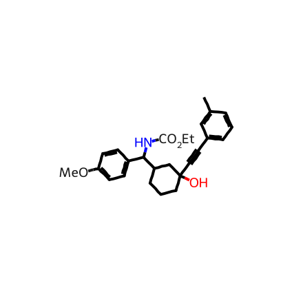 CCOC(=O)NC(c1ccc(OC)cc1)C1CCCC(O)(C#Cc2cccc(C)c2)C1